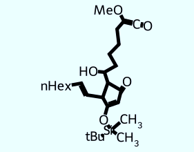 CCCCCCC=CC1C(O[Si](C)(C)C(C)(C)C)=CC(=O)C1C(O)CCCCC(=C=O)OC